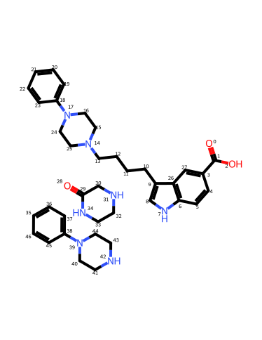 O=C(O)c1ccc2[nH]cc(CCCCN3CCN(c4ccccc4)CC3)c2c1.O=C1CNCCN1.c1ccc(N2CCNCC2)cc1